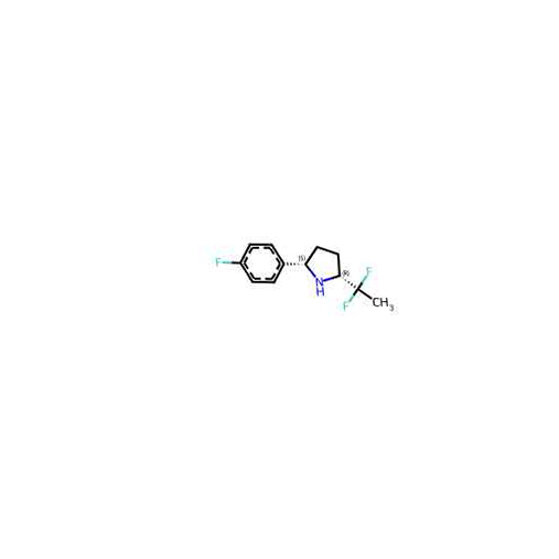 CC(F)(F)[C@H]1CC[C@@H](c2ccc(F)cc2)N1